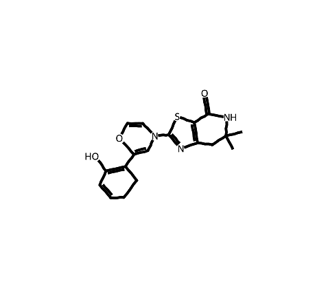 CC1(C)Cc2nc(N3C=COC(C4=C(O)C=CCC4)=C3)sc2C(=O)N1